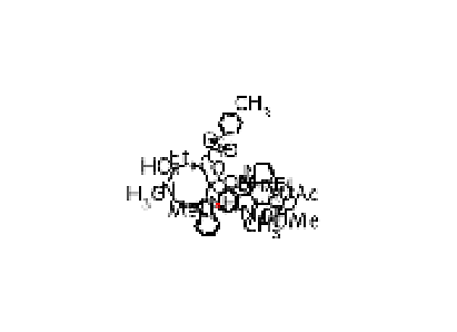 CC[C@]1(O)C[C@H](COS(=O)(=O)c2ccc(C)cc2)C[C@](C(=O)OC)(c2cc3c(cc2OC)N(C)[C@H]2C(O)(C(=O)OC)[C@H](OC(C)=O)[C@]4(CC)C=CCN5CCC32[C@@H]54)c2[nH]c3ccccc3c2CCN(C)C1